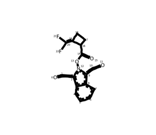 O=C=c1c2ccccc2c(=C=O)n1OC(=O)C1CCC1=C(F)F